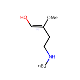 CCCCNCC/C(=C/O)OC